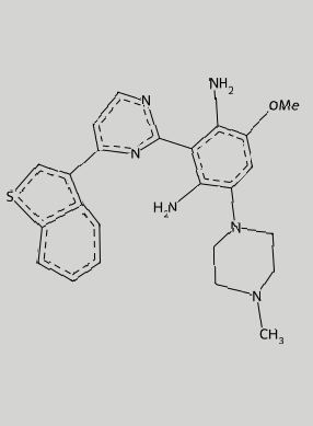 COc1cc(N2CCN(C)CC2)c(N)c(-c2nccc(-c3csc4ccccc34)n2)c1N